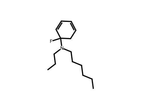 CCCCCCN(CCC)C1(F)C=CC=CC1